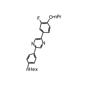 CCCCCCc1ccc(-c2cnc(-c3ccc(OCCC)c(F)c3)cn2)cc1